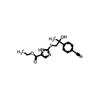 CCOC(=O)c1cnc(SCC(C)(O)c2ccc(C#N)cc2)[nH]1